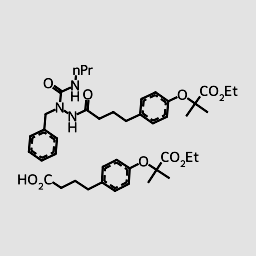 CCCNC(=O)N(Cc1ccccc1)NC(=O)CCCc1ccc(OC(C)(C)C(=O)OCC)cc1.CCOC(=O)C(C)(C)Oc1ccc(CCCC(=O)O)cc1